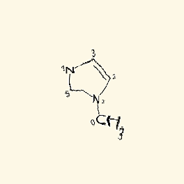 CN1C=C[N]C1